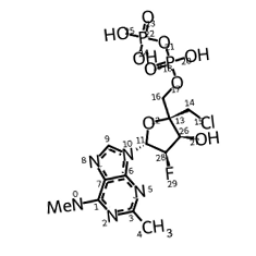 CNc1nc(C)nc2c1ncn2[C@@H]1O[C@](CCl)(COP(=O)(O)OP(=O)(O)O)[C@@H](O)[C@H]1F